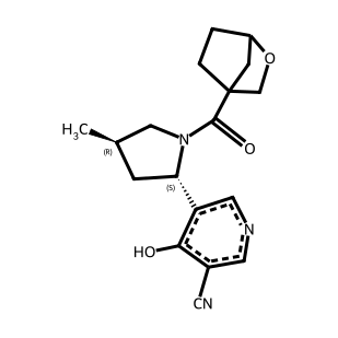 C[C@@H]1C[C@@H](c2cncc(C#N)c2O)N(C(=O)C23CCC(C2)OC3)C1